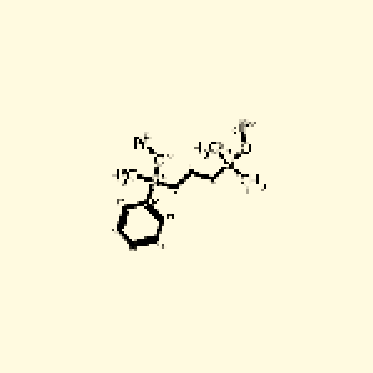 CC(C)O[Si](C)(C)CCC[Si](C)(OC(C)C)c1ccccc1